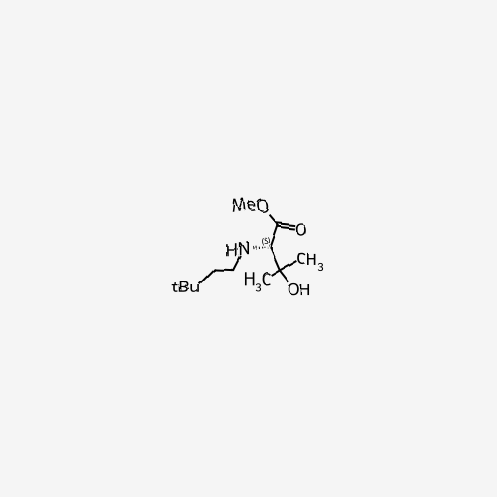 COC(=O)[C@@H](NCCC(C)(C)C)C(C)(C)O